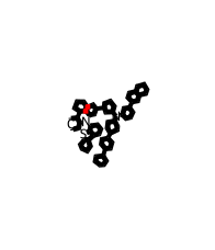 c1ccc(-c2ccc(-c3ccc(N(c4cccc(-c5cccc(N(c6ccccc6-c6ccccc6)c6cccc7c6sc6ccccc67)c5)c4)c4cccc(-c5ccc6ccccc6c5)c4)cc3)cc2)cc1